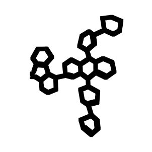 C1=CCC(C2=CCC(C3C4=CCCCC4C(C4C=C(C5CCCCC5)CCC4)C4CCC(C5CCCC6SC7=C(CCCC7)C65)=CC43)CC2)C=C1